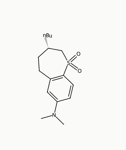 CCCC[C@H]1CCc2cc(N(C)C)ccc2S(=O)(=O)C1